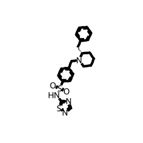 O=S(=O)(Nc1ncns1)c1ccc(CN2CCCC[C@H]2Cc2ccccc2)cc1